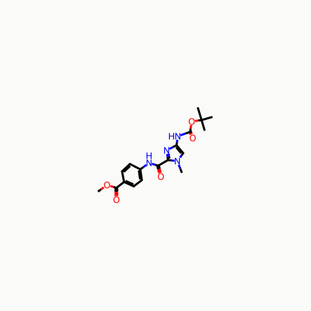 COC(=O)c1ccc(NC(=O)c2nc(NC(=O)OC(C)(C)C)cn2C)cc1